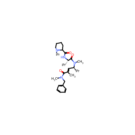 C/C(=C\[C@H](C(C)C)N(C)C(=O)[C@@H](NC(=O)C1CCCCN1C(C)C)C(C)C)C(=O)N(C)Cc1ccccc1